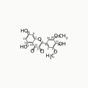 COc1cc(-c2oc3cc(O)cc(O)c3c(=O)c2Cl)cc(OC)c1O